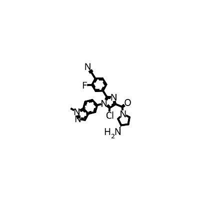 Cn1ncc2cc(-n3c(-c4ccc(C#N)c(F)c4)nc(C(=O)N4CC[C@H](N)C4)c3Cl)ccc21